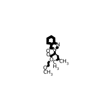 COCCOC(=O)[C@H](CC(C)C)n1cnc2ccccc2c1=O